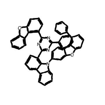 c1ccc(-c2nc(-c3cccc4oc5ccccc5c34)nc(-c3cccc4c5ccccc5n(-c5ccc6c(c5)oc5cccc(-c7ccccc7)c56)c34)n2)cc1